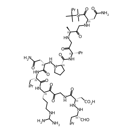 CC(C)C[C@@H](C=O)NN[C@@H](CC(=O)O)C(=O)NCC(=O)C(=O)[C@H](CCCNC(N)N)NC(=O)[C@H](CC(C)C)NC(=O)[C@H](CC(N)=O)NN1CCC[C@H]1C(=O)N[C@H](C(=O)CN[C@@H](C)C(=O)CN[C@@H](CC(N)=O)C(=O)[Si](C)(C)C(C)(C)C(C)C)C(C)C